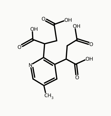 Cc1cnc(C(CC(=O)O)C(=O)O)c(C(CC(=O)O)C(=O)O)c1